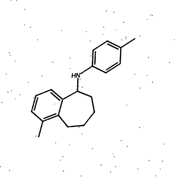 Cc1ccc(NC2CCCCc3c(C)cccc32)cc1